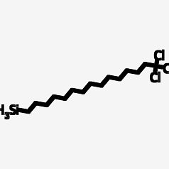 [SiH3]CCCCCCCCCCCCCCC(Cl)(Cl)Cl